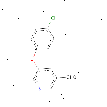 O=Cc1cncc(Oc2ccc(Cl)cc2)c1